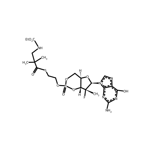 CCOC(=O)NCC(C)(C)C(=O)SCCOP1(=O)OC[C@H]2O[C@@H](n3cnc4c(O)nc(N)nc43)[C@](C)(F)[C@@H]2O1